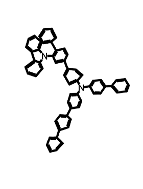 c1ccc(-c2ccc(-c3ccc(N(c4ccc(-c5ccccc5)cc4)c4ccc(-c5ccc(-c6ccccc6)c(-n6c7ccccc7c7ccccc76)c5)cc4)cc3)cc2)cc1